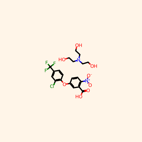 O=C(O)c1cc(Oc2ccc(C(F)(F)F)cc2Cl)ccc1[N+](=O)[O-].OCCN(CCO)CCO